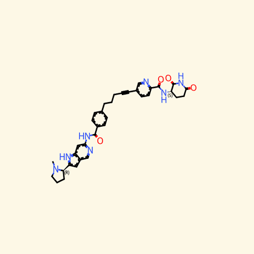 CN1CCC[C@@H]1c1cc2cnc(NC(=O)c3ccc(CCCC#Cc4ccc(C(=O)N[C@H]5CCC(=O)NC5=O)nc4)cc3)cc2[nH]1